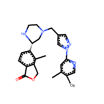 Cc1cc(-n2cc(CN3CCN[C@@H](c4ccc5c(c4C)COC5=O)C3)cn2)ncc1C#N